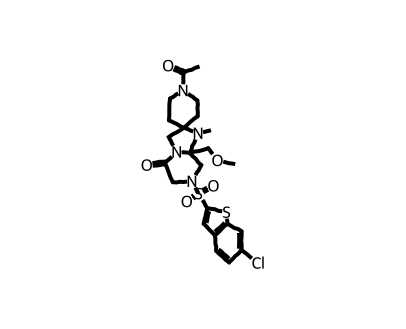 COCC12CN(S(=O)(=O)c3cc4ccc(Cl)cc4s3)CC(=O)N1CC1(CCN(C(C)=O)CC1)N2C